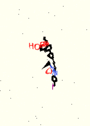 CCCOc1ccc(-c2ccc(CCCc3nn(-c4ccc(CI)cc4)c(=O)n3C3CC3)cc2)cc1CC(=O)O